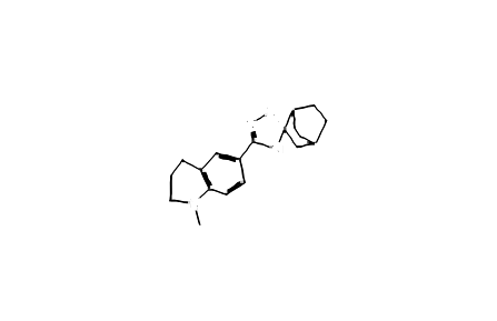 CN1CCCc2cc(C3=NN[C@]4(CC5CCC4CC5)N3)ccc21